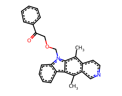 Cc1c2cnccc2c(C)c2c1c1ccccc1n2COCC(=O)c1ccccc1